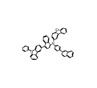 c1ccc(-n2c3ccccc3c3cc(-c4ccc(N(c5ccc(-c6ccc7ccccc7c6)cc5)c5ccc6oc7ccccc7c6c5)c5ccccc45)ccc32)cc1